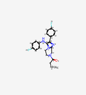 CC(=O)NCC(=O)N1CCn2c(nc(-c3ccc(F)cc3)c2Nc2ccc(F)cc2)C1